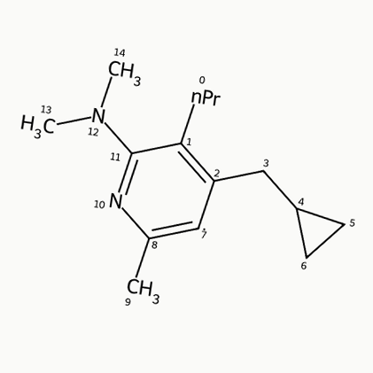 CCCc1c(CC2CC2)[c]c(C)nc1N(C)C